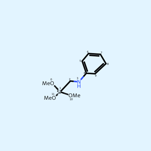 CO[Si](CNc1ccccc1)(OC)OC